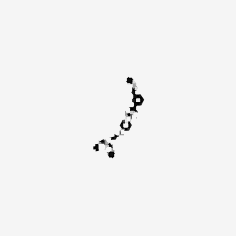 CC(C)(C)OC(=O)N(CCON=C1CCN(c2ncc(-c3cccc(CO[Si](C)(C)C(C)(C)C)c3F)cn2)CC1)C(=O)OC(C)(C)C